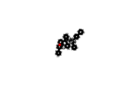 O=P1(c2cccc(-c3ccccc3)c2)C2=C(C=CCC2)c2c(n(-c3nc(-c4ccccc4)nc(-c4ccc(C5C=CC=CC5)cc4)n3)c3ccccc23)C2=CC=CCC21